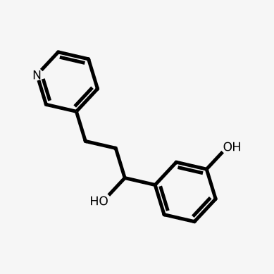 Oc1cccc(C(O)CCc2cccnc2)c1